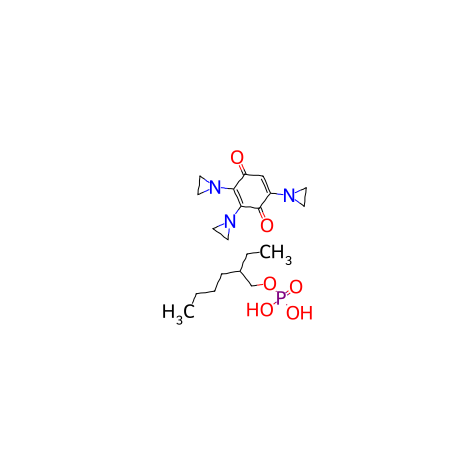 CCCCC(CC)COP(=O)(O)O.O=C1C=C(N2CC2)C(=O)C(N2CC2)=C1N1CC1